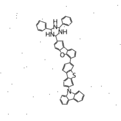 c1ccc(C2NC(c3ccccc3)NC(c3ccc4oc5c(-c6ccc7c(c6)sc6cc(-n8c9ccccc9c9ccccc98)ccc67)cccc5c4c3)N2)cc1